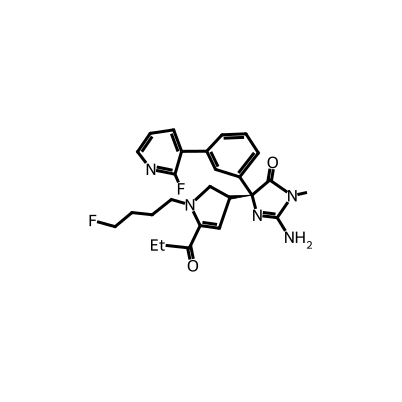 CCC(=O)C1=CC([C@]2(c3cccc(-c4cccnc4F)c3)N=C(N)N(C)C2=O)CN1CCCCF